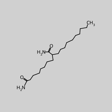 CCCCCCCCCCC(CCCCCCCC(N)=O)C(N)=O